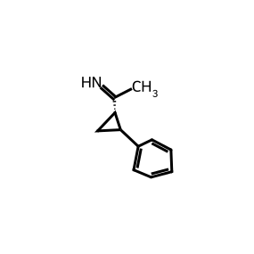 CC(=N)[C@H]1CC1c1ccccc1